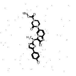 CCc1nc2ccc(N3CCN(C(=O)OC(C)(C)C)CC3=O)cn2c1N(C)c1nc(-c2ccc(Cl)cc2)cs1